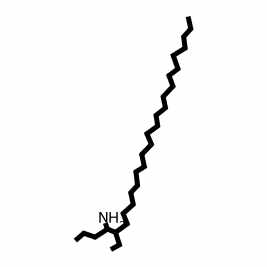 CCCCCCCCCCCCCCCCCCCCCCC(CC)C(N)CCC